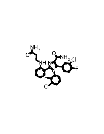 NC(=O)CCNc1ccccc1-c1nc(C(N)=O)c(-c2ccc(F)c(Cl)c2)n1-c1cccc(Cl)c1F